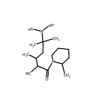 CCCN(CCC)C(C)(C)CC(C)C(C#N)C(=O)N1CCCCC1C